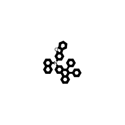 c1ccc(-c2c(-c3ccccc3)c3cc(N(c4ccc5c(c4)oc4ccccc45)c4cccc5ccccc45)ccc3c3ccccc23)cc1